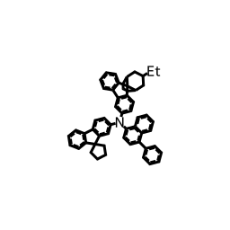 CCC1CC2CCCC(C1)C21c2ccccc2-c2cc(N(c3ccc4c(c3)C3(CCCC3)c3ccccc3-4)c3ccc(-c4ccccc4)c4ccccc34)ccc21